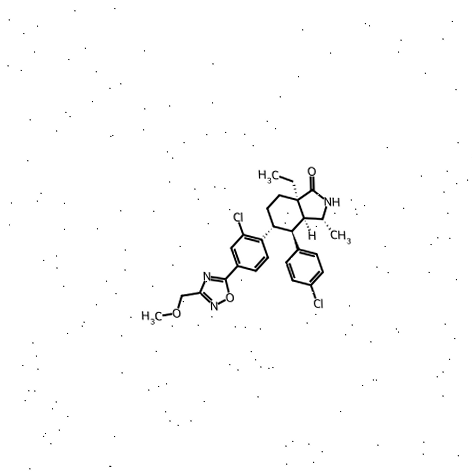 CC[C@@]12CC[C@@H](c3ccc(-c4nc(COC)no4)cc3Cl)[C@H](c3ccc(Cl)cc3)[C@@H]1[C@@H](C)NC2=O